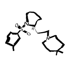 Cc1cccc(S(=O)(=O)N2CCC[C@@H]2CCN2CCC(C)(C)CC2)c1